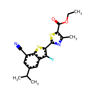 CCOC(=O)c1sc(-c2sc3c(C#N)cc(C(C)C)cc3c2F)nc1C